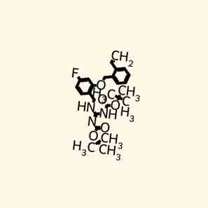 C=Cc1ccccc1COc1cc(F)ccc1CN/C(=N/C(=O)OC(C)(C)C)NC(=O)OC(C)(C)C